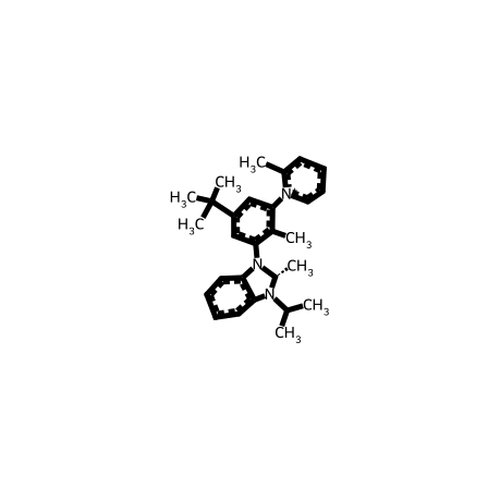 Cc1c(N2c3ccccc3N(C(C)C)[C@H]2C)cc(C(C)(C)C)cc1-[n+]1ccccc1C